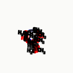 COC1CCC(OC2CCC(C[C@H](C)[C@@H]3CC(=O)[C@H](C)/C=C(\C)C(O)[C@@H](OC)C(=O)[C@H](C)C[C@H](C)/C=C/C=C/C=C(\C)[C@@H](OC)C[C@@H]4CC[C@@H](C)[C@@](O)(O4)C(=O)C(=O)N4CCCC[C@H]4C(=O)O3)CC2OC)C(C)O1